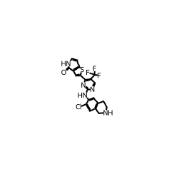 O=c1[nH]ccc2sc(-c3nc(Nc4cc5c(cc4Cl)CNCC5)ncc3C(F)(F)F)cc12